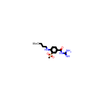 COCCCNc1ccc(C(=O)NC(=N)N)cc1S(C)(=O)=O